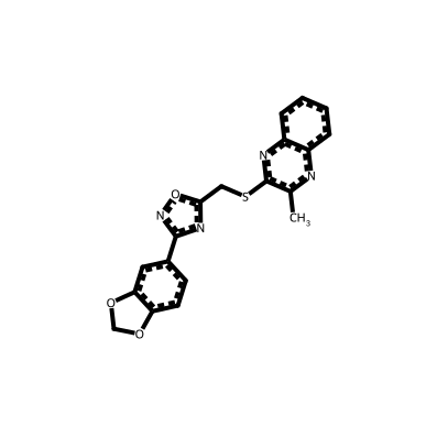 Cc1nc2ccccc2nc1SCc1nc(-c2ccc3c(c2)OCO3)no1